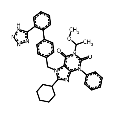 COC(C)n1c(=O)c2c(nc(C3CCCCC3)n2Cc2ccc(-c3ccccc3-c3nnn[nH]3)cc2)n(-c2ccccc2)c1=O